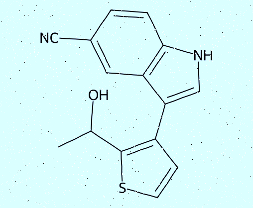 CC(O)c1sccc1-c1c[nH]c2ccc(C#N)cc12